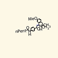 CCCCCC(=O)Nc1ccc(C(=O)/C=C2\NC(C)(C)Cc3ccc(OC)cc32)cc1